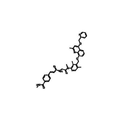 CNC(=O)c1ccc(C=CC(=O)NCC(=O)N(C)c2ccc(C)c(COc3cccc4c(OCc5ccccn5)cc(C)nc34)c2C)cc1